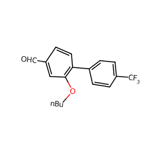 CCCCOc1cc(C=O)ccc1-c1ccc(C(F)(F)F)cc1